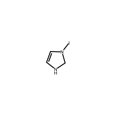 IN1C=CNC1